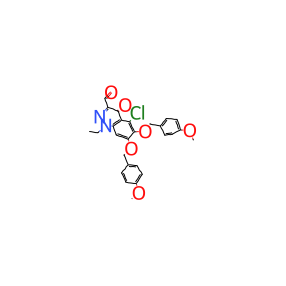 CCn1nc(C=O)c(=O)c2c(Cl)c(OCc3ccc(OC)cc3)c(OCc3ccc(OC)cc3)cc21